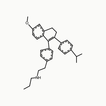 CCCNCCc1ccc(C2=C(c3ccc(C(C)C)cc3)CCc3cc(OC)ccc32)cc1